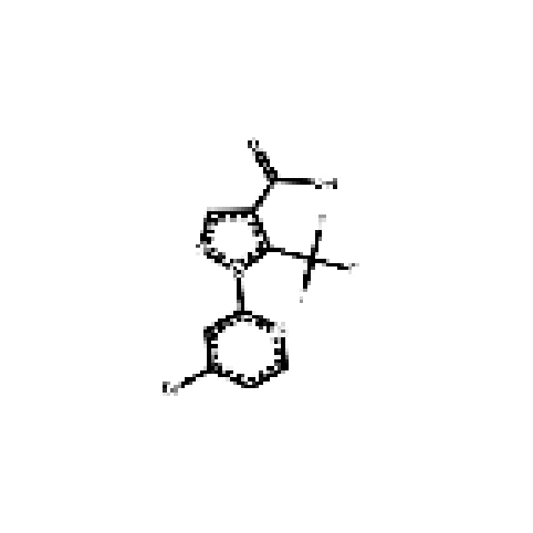 O=C(O)c1cnn(-c2cc(Br)ccn2)c1C(F)(F)F